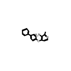 Cc1nccc(Oc2ccc(-c3ccccc3)cc2)c1N